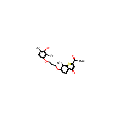 CCCc1c(OCCCOc2ccc3c(=O)cc(C(=O)OC)sc3c2CCC)ccc(C(C)=O)c1O